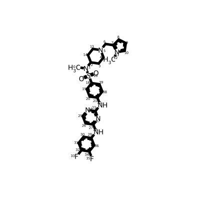 CN(C1CCN(Cc2cccn2C)CC1)S(=O)(=O)c1ccc(Nc2nccc(Nc3ccc(F)c(F)c3)n2)cc1